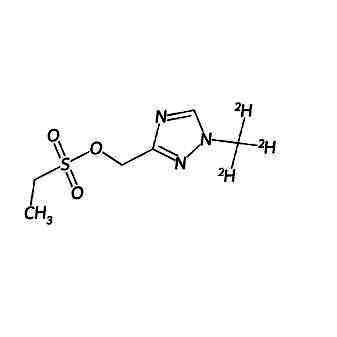 [2H]C([2H])([2H])n1cnc(COS(=O)(=O)CC)n1